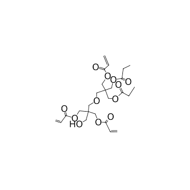 C=CC(=O)OCC(CO)(COCC(COC(=O)C=C)(COC(=O)CC)COC(=O)CC)COC(=O)C=C